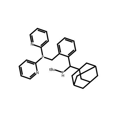 CC(C)(C)PC(c1ccccc1CP(c1ccccn1)c1ccccn1)C12CC3CC(CC(C3)C1)C2